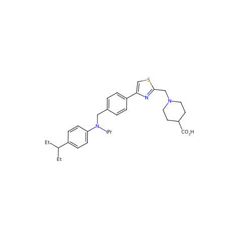 CCC(CC)c1ccc(N(Cc2ccc(-c3csc(CN4CCC(C(=O)O)CC4)n3)cc2)C(C)C)cc1